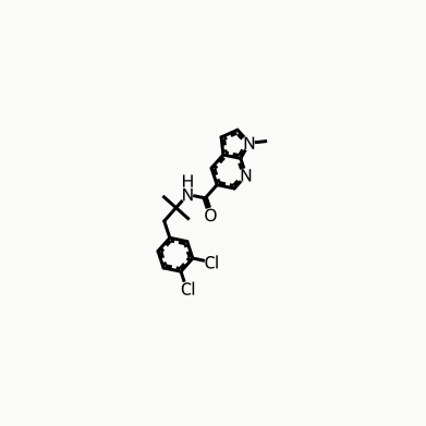 Cn1ccc2cc(C(=O)NC(C)(C)Cc3ccc(Cl)c(Cl)c3)cnc21